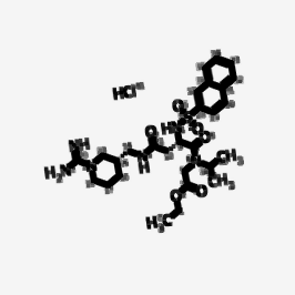 CCOC(=O)CN(C(=O)[C@H](CC(=O)NC[C@@H]1CCCN(C(=N)N)C1)NS(=O)(=O)c1ccc2ccccc2c1)C(C)C.Cl